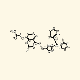 O=C(O)COc1cccc2c1CCCC2CCc1nc(C(c2ccccc2)c2ccccc2)no1